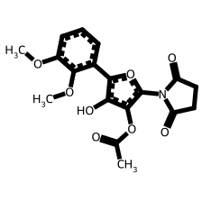 COc1cccc(-c2oc(N3C(=O)CCC3=O)c(OC(C)=O)c2O)c1OC